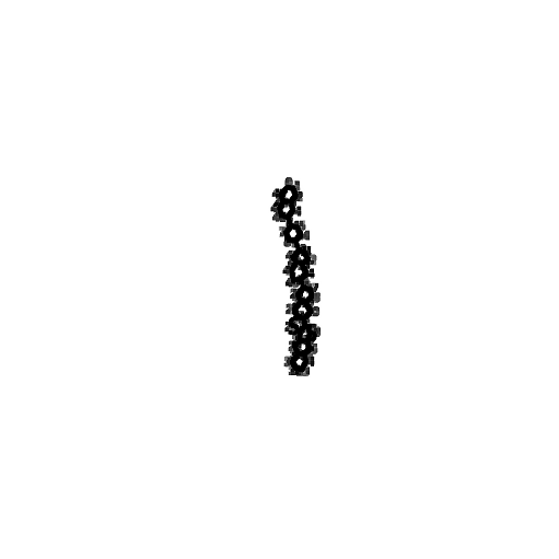 c1ccc2cc(-c3ccc(-c4ccc5cc(-c6ccc7cc8c(cc7c6)sc6c7cc9ccccc9cc7sc86)ccc5c4)cc3)ccc2c1